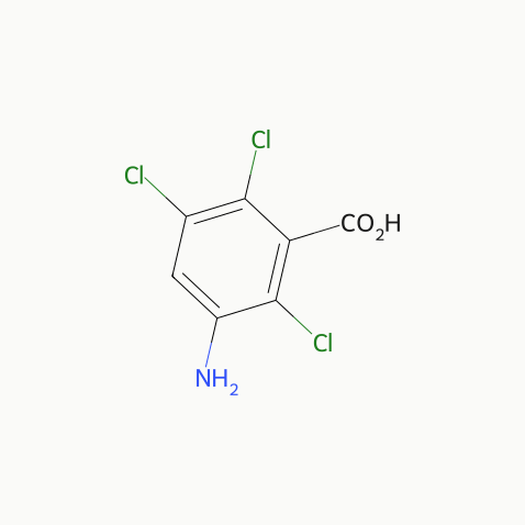 Nc1cc(Cl)c(Cl)c(C(=O)O)c1Cl